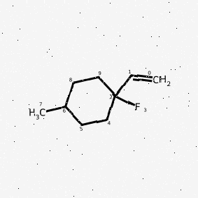 C=CC1(F)CCC(C)CC1